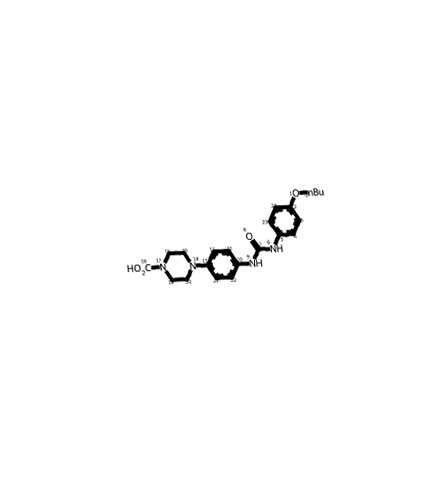 CCCCOc1ccc(NC(=O)Nc2ccc(N3CCN(C(=O)O)CC3)cc2)cc1